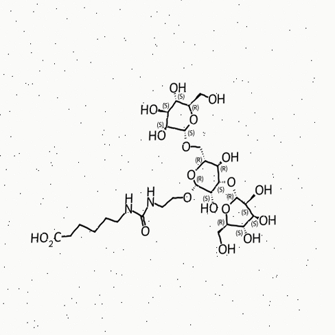 O=C(O)CCCCCNC(=O)NCCO[C@@H]1O[C@H](CO[C@H]2O[C@H](CO)[C@@H](O)[C@H](O)[C@@H]2O)[C@@H](O)[C@H](O[C@H]2O[C@H](CO)[C@@H](O)[C@H](O)[C@@H]2O)[C@@H]1O